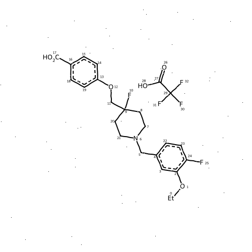 CCOc1cc(CN2CCC(F)(COc3ccc(C(=O)O)cc3)CC2)ccc1F.O=C(O)C(F)(F)F